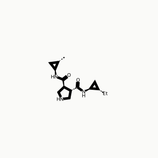 CC[C@H]1C[C@@H]1NC(=O)[C@@H]1CNC[C@H]1C(=O)N[C@H]1C[C@@H]1C